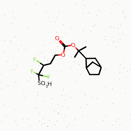 CC(C)(OC(=O)OCCC(F)C(F)(F)S(=O)(=O)O)C1CC2CCC1C2